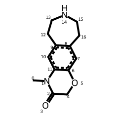 CN1C(=O)COc2cc3c(cc21)CCNCC3